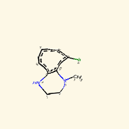 CN1CCNc2cccc(Br)c21